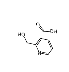 O=CO.OCc1ccccn1